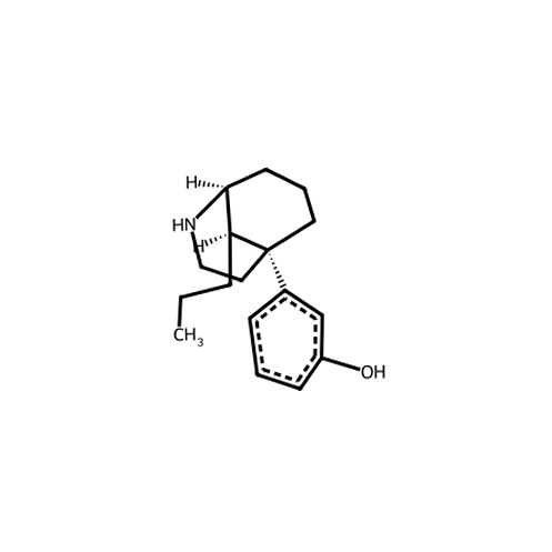 CCC[C@H]1[C@@H]2CCC[C@@]1(c1cccc(O)c1)CCN2